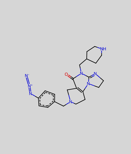 [N-]=[N+]=Nc1ccc(CN2CCC3=C(C2)C(=O)N(CC2CCNCC2)C2=NCCN23)cc1